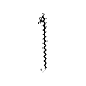 CCCCCCCCCCCCCCCCCCC=CC=CC1CC(=O)OC1=O